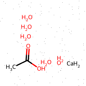 CC(=O)O.O.O.O.O.O.[CaH2]